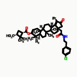 CC(C)C1=C2[C@H]3CC[C@@H]4[C@@]5(C)CC[C@H](OC(=O)[C@H]6C[C@@H](C(=O)O)C6(C)C)C(C)(C)[C@@H]5CC[C@@]4(C)[C@]3(C)CC[C@@]2(CC(=O)NCCc2ccc(Cl)cc2)CC1=O